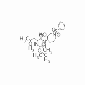 CC(C)CC(NC(=O)OC(C)(C)C)C(=O)NC1CCCN(S(=O)(=O)c2ccccc2)C[C@@H]1O